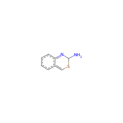 NC1N=c2ccccc2=CS1